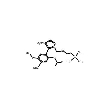 CC(C)(C)Sc1cc(-c2c([N+](=O)[O-])cnn2COCC[Si](C)(C)C)c(OC(F)F)cc1C=O